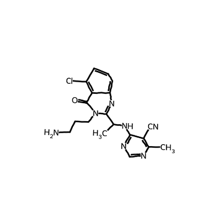 Cc1ncnc(NC(C)c2nc3cccc(Cl)c3c(=O)n2CCCN)c1C#N